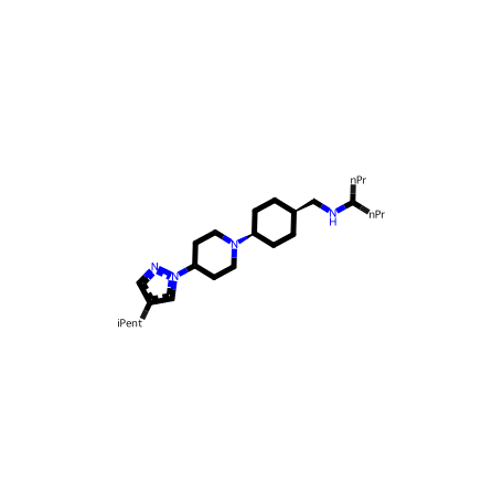 CCCC(CCC)NC[C@H]1CC[C@@H](N2CCC(n3cc(C(C)CCC)cn3)CC2)CC1